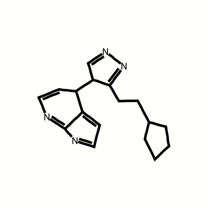 C1=CC(C2C=NN=C2CCC2CCCC2)C2=CC=NC2=N1